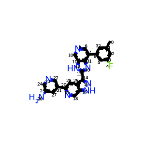 Cc1cc(F)cc(-c2cncc3[nH]c(-c4n[nH]c5cnc(-c6cncc(N)c6)cc45)nc23)c1